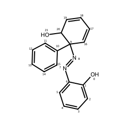 Oc1ccccc1N=NC1(c2ccccc2)C=CC=CC1O